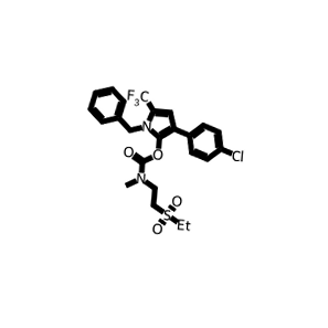 CCS(=O)(=O)CCN(C)C(=O)Oc1c(-c2ccc(Cl)cc2)cc(C(F)(F)F)n1Cc1ccccc1